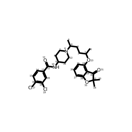 CC(CCC(C)N1CCC(NC(=O)c2ccc(Cl)c(Cl)c2)CC1)Oc1cccc2c1C(=O)C(C)(C)O2